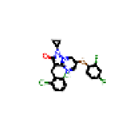 O=c1c(Cc2c(Cl)cccc2Cl)c2ncc(Sc3ccc(F)cc3F)cn2n1C1CC1